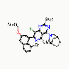 CCc1cccc2cc(OCOC)cc(-c3nc(OC)c4c(N5CC6CCC(C6)C5)nc(SC)nc4c3F)c12